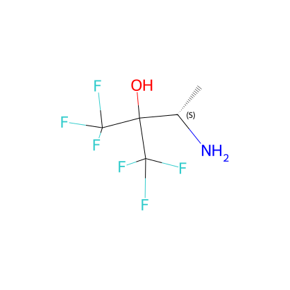 C[C@H](N)C(O)(C(F)(F)F)C(F)(F)F